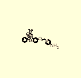 CN(C)C(=O)CN(c1cccc(OCC[n+]2ccc(N)cc2)c1)S(=O)(=O)c1ccccc1